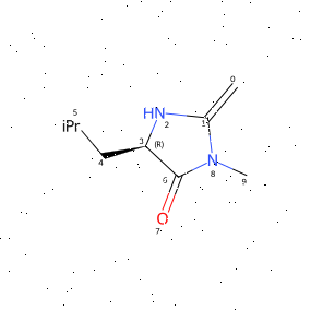 C=C1N[C@H](CC(C)C)C(=O)N1C